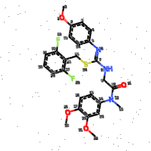 COc1ccc(N=C(NCC(=O)N(C)c2ccc(OC)c(OC)c2)SCc2c(F)cccc2F)cc1